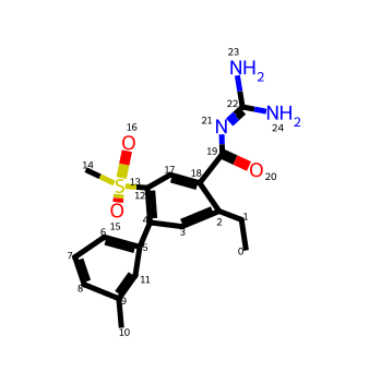 CCc1cc(-c2cccc(C)c2)c(S(C)(=O)=O)cc1C(=O)N=C(N)N